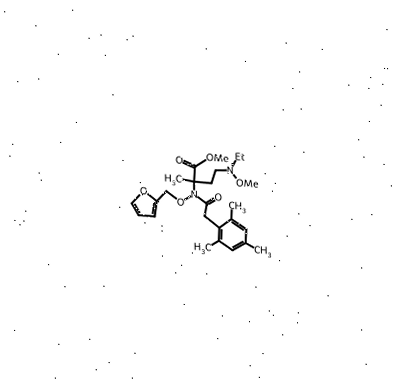 CCN(CCC(C)(C(=O)OC)N(OCc1ccco1)C(=O)Cc1c(C)cc(C)cc1C)OC